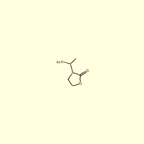 CC(=O)OC(C)N1CCOC1=O